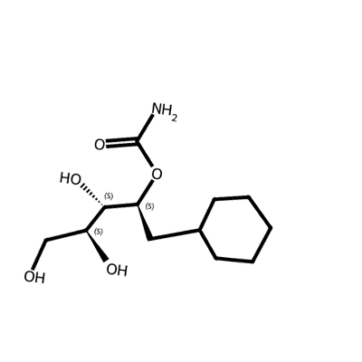 NC(=O)O[C@@H](CC1CCCCC1)[C@@H](O)[C@@H](O)CO